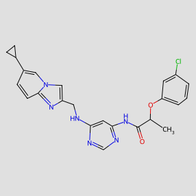 CC(Oc1cccc(Cl)c1)C(=O)Nc1cc(NCc2cn3cc(C4CC4)ccc3n2)ncn1